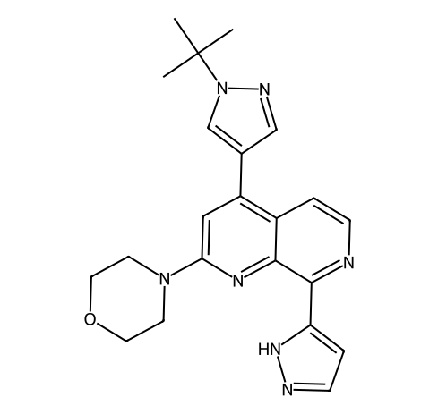 CC(C)(C)n1cc(-c2cc(N3CCOCC3)nc3c(-c4ccn[nH]4)nccc23)cn1